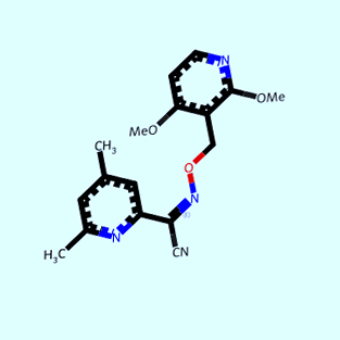 COc1ccnc(OC)c1CO/N=C(/C#N)c1cc(C)cc(C)n1